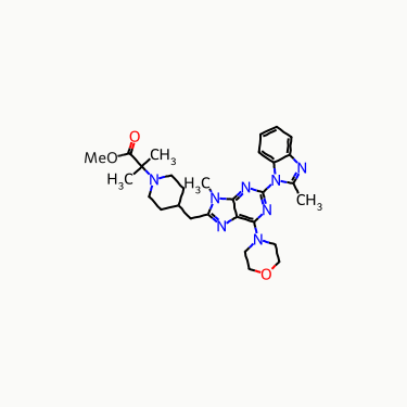 COC(=O)C(C)(C)N1CCC(Cc2nc3c(N4CCOCC4)nc(-n4c(C)nc5ccccc54)nc3n2C)CC1